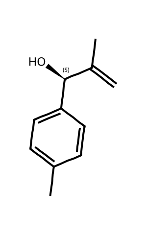 C=C(C)[C@H](O)c1ccc(C)cc1